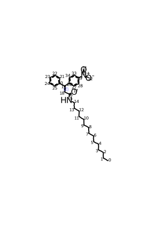 CCCCCCCCCCCCCCCNC(=O)/C=C(/c1ccccc1)c1ccc([N+](=O)[O-])cc1